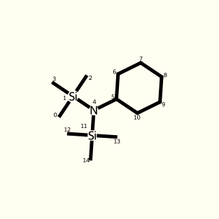 C[Si](C)(C)N(C1CCCCC1)[Si](C)(C)C